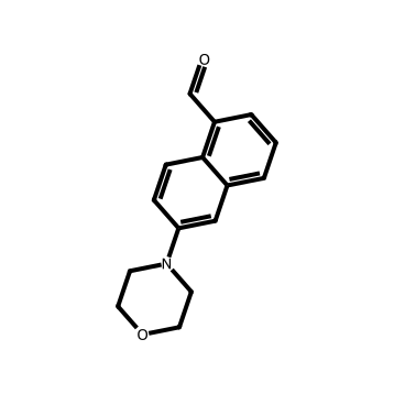 O=Cc1cccc2cc(N3CCOCC3)ccc12